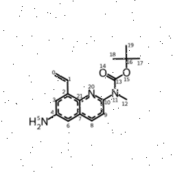 C=Cc1cc(N)cc2ccc(N(C)C(=O)OC(C)(C)C)nc12